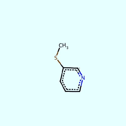 CSc1[c]nccc1